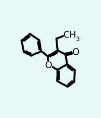 CCc1c(-c2ccccc2)oc2ccccc2c1=O